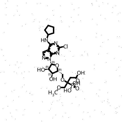 COCC(CC(=O)O)(OC[C@H]1O[C@@H](n2ncc3c(NC4CCCC4)nc(Cl)nc32)[C@H](O)[C@@H]1O)P(=O)(O)O